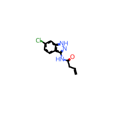 C=CCC(=O)Nc1n[nH]c2cc(Cl)ccc12